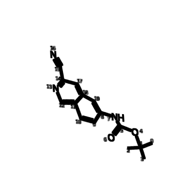 CC(C)(C)OC(=O)Nc1ccc2cnc(C#N)cc2c1